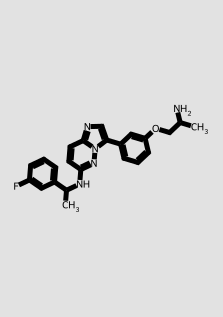 CC(N)COc1cccc(-c2cnc3ccc(NC(C)c4cccc(F)c4)nn23)c1